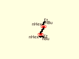 CCCCCCC(CCC(CC)CCCC)OC(=O)CCCCC(=O)OC(CCCCCC)CCC(CC)CCCC